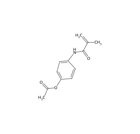 C=C(C)C(=O)Nc1ccc(OC(C)=O)cc1